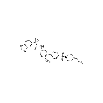 CCN1CCN(S(=O)(=O)c2ccc(-c3cc(NC(=O)C4(c5ccc6c(c5)OCO6)CC4)ccc3C)cc2)CC1